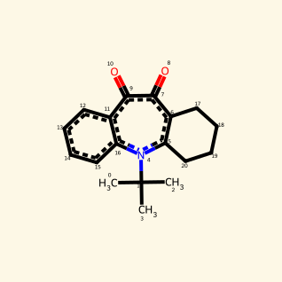 CC(C)(C)n1c2c(c(=O)c(=O)c3ccccc31)CCCC2